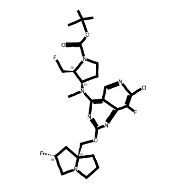 CN(c1nc(OC[C@@]23CCCN2C[C@H](F)C3)nc2c(F)c(Cl)ncc12)[C@@H]1CCN(C(=O)OC(C)(C)C)[C@@H]1CF